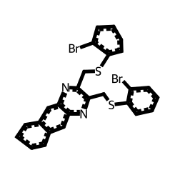 Brc1ccccc1SCc1nc2cc3ccccc3cc2nc1CSc1ccccc1Br